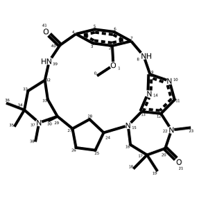 COc1cc2ccc1Nc1ncc3c(n1)N(CC(C)(C)C(=O)N3C)C1CCC(C1)C1(C)CC(CC(C)(C)N1C)NC2=O